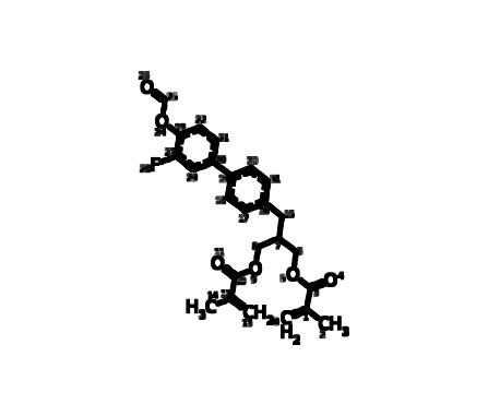 C=C(C)C(=O)OCC(COC(=O)C(=C)C)Cc1ccc(-c2ccc(OC=O)c(F)c2)cc1